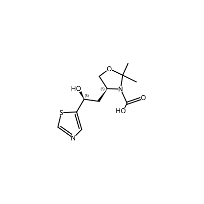 CC1(C)OC[C@H](C[C@H](O)c2cncs2)N1C(=O)O